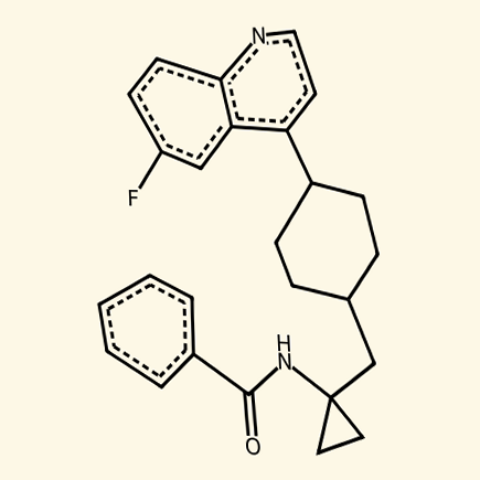 O=C(NC1(CC2CCC(c3ccnc4ccc(F)cc34)CC2)CC1)c1ccccc1